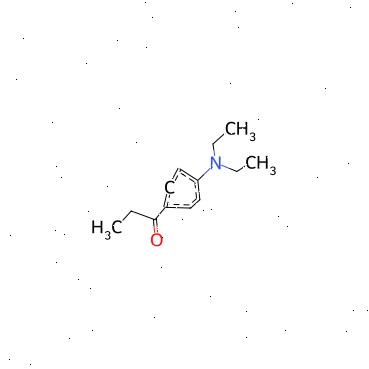 CCC(=O)c1ccc(N(CC)CC)cc1